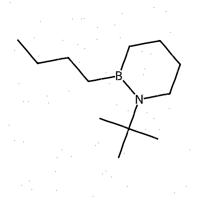 CCCCB1CCCCN1C(C)(C)C